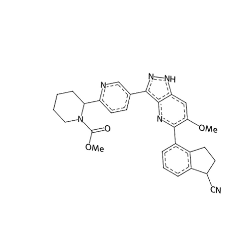 COC(=O)N1CCCCC1c1ccc(-c2n[nH]c3cc(OC)c(-c4cccc5c4CCC5C#N)nc23)cn1